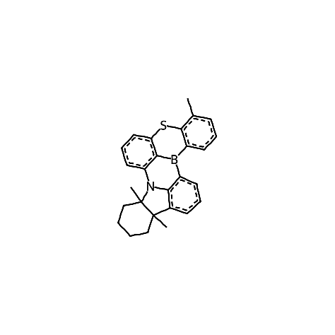 Cc1cccc2c1Sc1cccc3c1B2c1cccc2c1N3C1(C)CCCCC21C